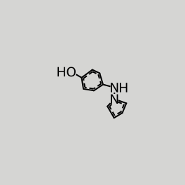 Oc1ccc(Nn2cccc2)cc1